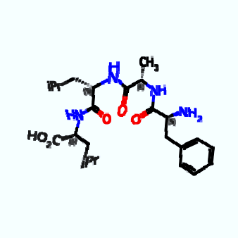 CC(C)C[C@H](NC(=O)[C@H](CC(C)C)NC(=O)[C@H](C)NC(=O)[C@@H](N)Cc1ccccc1)C(=O)O